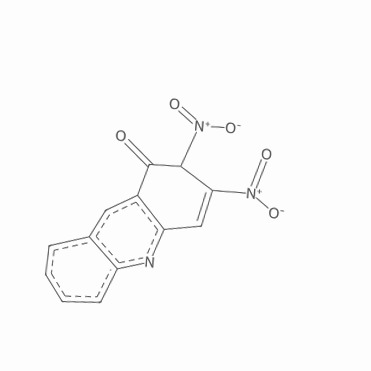 O=C1c2cc3ccccc3nc2C=C([N+](=O)[O-])C1[N+](=O)[O-]